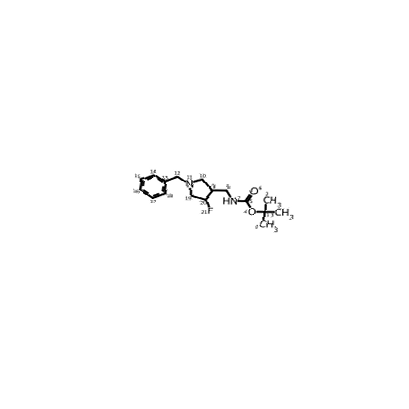 CC(C)(C)OC(=O)NCC1CN(Cc2ccccc2)CC1F